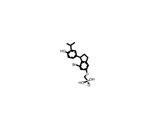 CC(C)c1cc(C2CCc3cc(OCP(=O)(O)O)cc(Br)c32)ccc1O